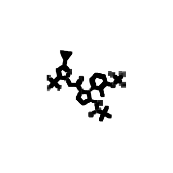 [2H]C([2H])([2H])Oc1cccc([C@@H]2[C@H](N[S@+]([O-])C(C)(C)C)CCN2C(=O)Cn2nc(C3CC3)cc2C(F)(F)F)c1C